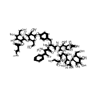 CCC(c1ccccc1)[C@H](N)C(=O)N[C@@H](Cc1ccc(OC2OC(CO)C(OC3OC(CO)C(O)C(O)C3OC(=O)CCC(C)C)C(O)C2O)cc1)C(=O)N[C@H](C(=O)N[C@H](C(=O)N[C@H]([C]=O)CO)C(O)C1CNC(=N)N1C1OC(CO)C(O)C(O)C1O)C(O)C1CNC(=N)N1